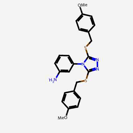 COc1ccc(CSc2nnc(SCc3ccc(OC)cc3)n2-c2cccc(N)c2)cc1